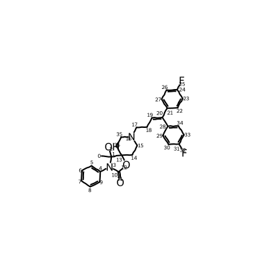 CC1(O)N(c2ccccc2)C(=O)OC12CCN(CCC=C(c1ccc(F)cc1)c1ccc(F)cc1)CC2